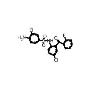 Nc1ccc(S(=O)(=O)Nc2ccc(Cl)cc2C(=O)c2ccccc2F)cc1Cl